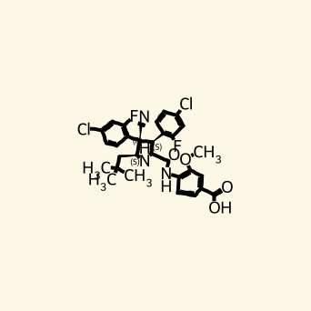 COc1cc(C(=O)O)ccc1NC(=O)C1N[C@@H](CC(C)(C)C)[C@](C#N)(c2ccc(Cl)cc2F)[C@H]1c1ccc(Cl)cc1F